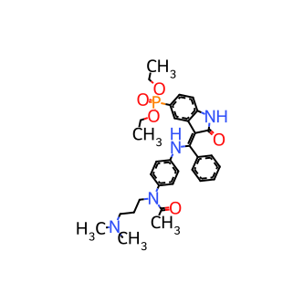 CCOP(=O)(OCC)c1ccc2c(c1)C(=C(Nc1ccc(N(CCCN(C)C)C(C)=O)cc1)c1ccccc1)C(=O)N2